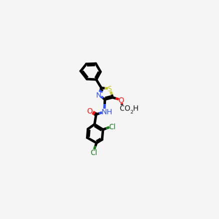 O=C(O)Oc1sc(-c2ccccc2)nc1NC(=O)c1ccc(Cl)cc1Cl